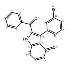 O=C(c1ccccc1)c1[nH]c2[nH]cnc(=O)c2c1-c1cccc(Br)c1